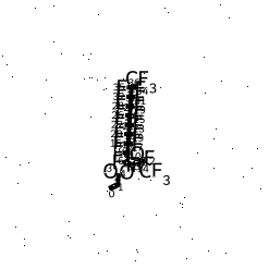 C=CC(=O)OC(F)(F)C(F)(OC(F)(F)C(F)(F)F)C(F)(F)C(F)(F)C(F)(F)C(F)(F)C(F)(F)C(F)(F)C(F)(F)C(F)(F)F